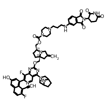 C#Cc1c(F)ccc2cc(O)cc(-c3ncc4c(N5CC6CCC(C5)N6)nc(OC[C@@]56CC[C@@H](COC(=O)N7CCN(CCCNc8ccc9c(c8)C(=O)N(C8CCC(=O)NC8=O)C9=O)CC7)N5CC(=C)C6)nc4c3F)c12